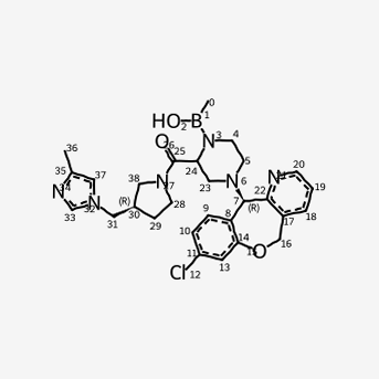 CB(O)N1CCN([C@@H]2c3ccc(Cl)cc3OCc3cccnc32)CC1C(=O)N1CC[C@@H](Cn2cnc(C)c2)C1